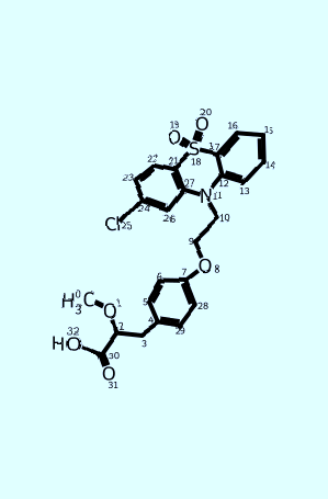 COC(Cc1ccc(OCCN2c3ccccc3S(=O)(=O)c3ccc(Cl)cc32)cc1)C(=O)O